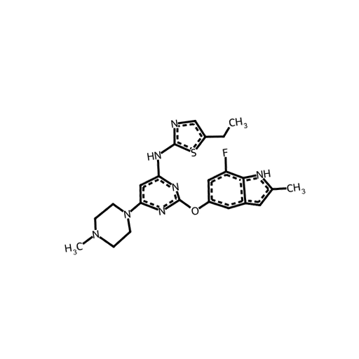 CCc1cnc(Nc2cc(N3CCN(C)CC3)nc(Oc3cc(F)c4[nH]c(C)cc4c3)n2)s1